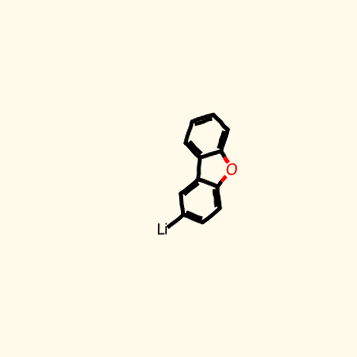 [Li][c]1ccc2oc3ccccc3c2c1